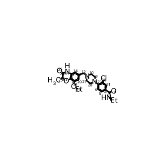 CCNC(=O)c1ccc(N2CCN(Cc3cc4c(c(OCC)c3)OC(C)C(=O)N4)CC2)c(Cl)c1